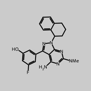 CNc1nc(N)c2c(-c3cc(O)cc(F)c3)nn(C3CCCc4ccccc43)c2n1